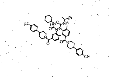 Cc1ccc(C(=O)N2CCC(c3ccc(C#N)cc3)CC2)cc1N(C(=O)NC1CCCCC1)N(C(=O)NC(C)C(C)C)c1cc(C(=O)N2CCC(c3ccc(C#N)cc3)CC2)ccc1C